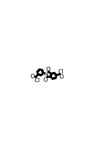 O=C(Cl)c1cccc(N2C(=O)c3ccc(C(=O)Cl)cc3C2=O)c1